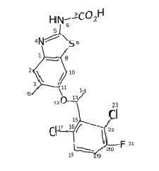 Cc1cc2nc(NC(=O)O)sc2cc1OC(C)c1c(Cl)ccc(F)c1Cl